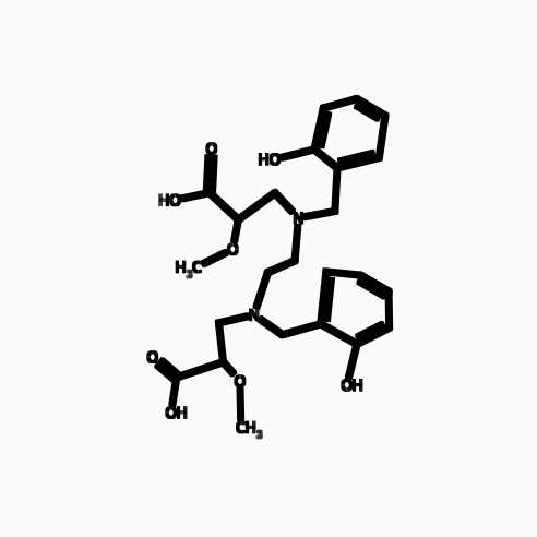 COC(CN(CCN(Cc1ccccc1O)CC(OC)C(=O)O)Cc1ccccc1O)C(=O)O